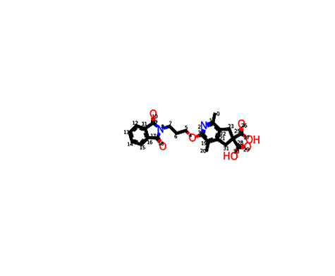 Cc1nc(OCCCN2C(=O)c3ccccc3C2=O)c(C)c2c1CC(C(=O)O)(C(=O)O)C2